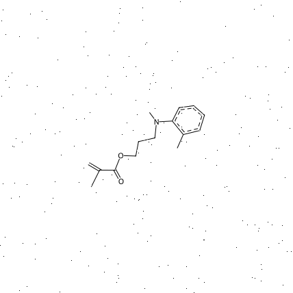 C=C(C)C(=O)OCCCN(C)c1ccccc1C